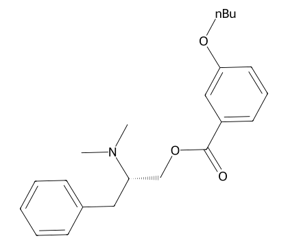 CCCCOc1cccc(C(=O)OC[C@H](Cc2ccccc2)N(C)C)c1